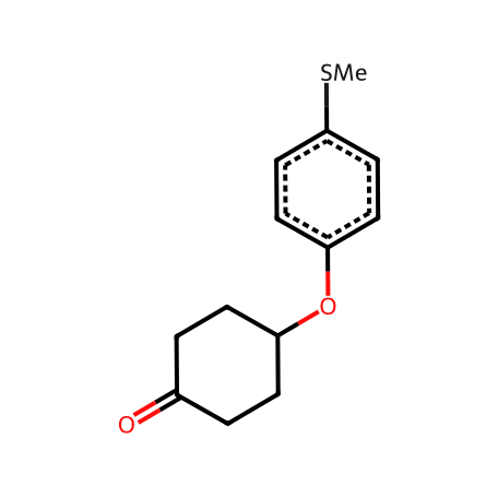 CSc1ccc(OC2CCC(=O)CC2)cc1